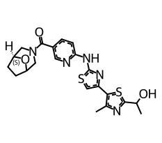 Cc1nc(C(C)O)sc1-c1csc(Nc2ccc(C(=O)N3CC4CC[C@@H](C3)O4)cn2)n1